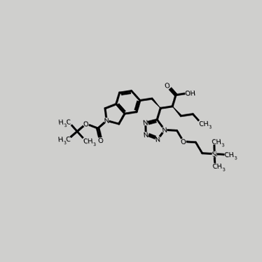 CCC[C@H](C(=O)O)[C@H](Cc1ccc2c(c1)CN(C(=O)OC(C)(C)C)C2)c1nnnn1COCC[Si](C)(C)C